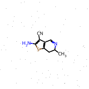 CC1Cc2sc(N)c(C#N)c2C=N1